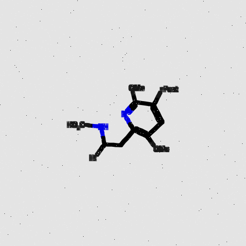 CCCCCc1cc(OC)c(CC(CC)NC(=O)O)nc1OC